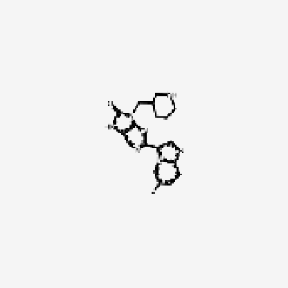 O=c1[nH]c2cnc(-c3cnc4ccc(F)cn34)nc2n1CC1CCCNC1